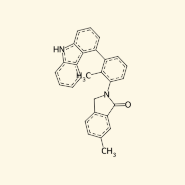 Cc1ccc2c(c1)C(=O)N(c1cccc(-c3cccc4[nH]c5ccccc5c34)c1C)C2